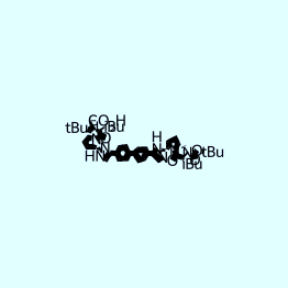 CC[C@@H](C)[C@@H](C(=O)N1CCC[C@H]1c1ncc(-c2ccc(-c3ccc(-c4c[nH]c([C@@H]5CCCN5C(=O)[C@H]([C@H](C)CC)N(CC(C)(C)C)C(=O)O)n4)cc3)cc2)[nH]1)N(C)C(=O)OC(C)(C)C